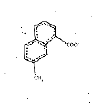 Cc1ccc2cccc(C(=O)[O-])c2c1.[Tl+]